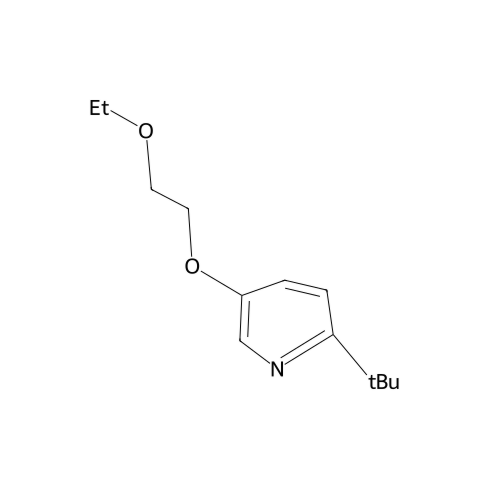 CCOCCOc1ccc(C(C)(C)C)nc1